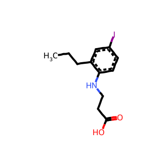 CCCc1cc(I)ccc1NCCC(=O)O